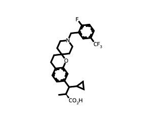 C[C@H](C(=O)O)C(c1ccc2c(c1)OC1(CC2)CCN(Cc2cc(C(F)(F)F)ccc2F)CC1)C1CC1